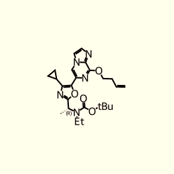 C=CCCOc1nc(-c2oc([C@@H](C)N(CC)C(=O)OC(C)(C)C)nc2C2CC2)cn2ccnc12